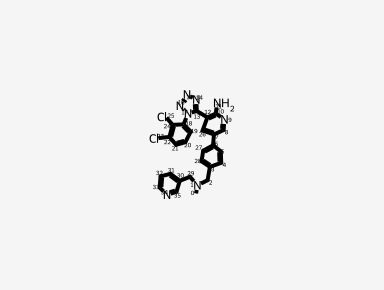 CN(Cc1ccc(-c2cnc(N)c(-c3nnnn3-c3cccc(Cl)c3Cl)c2)cc1)Cc1cccnc1